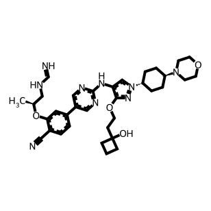 C[C@@H](CNC=N)Oc1cc(-c2cnc(Nc3cn([C@H]4CC[C@H](N5CCOCC5)CC4)nc3OCCC3(O)CCC3)nc2)ccc1C#N